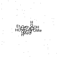 CC[C@H]1OC(COC[C@H]2OC(COC)[C@@H](OC)[C@@H](O)C2O)[C@@H](O)[C@@H](O)C1O